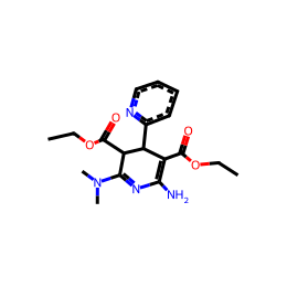 CCOC(=O)C1=C(N)N=C(N(C)C)C(C(=O)OCC)C1c1ccccn1